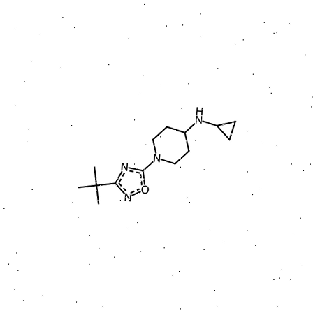 CC(C)(C)c1noc(N2CCC(NC3CC3)CC2)n1